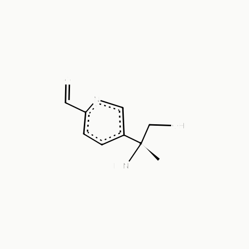 C[C@](N)(CO)c1ccc(C=O)nc1